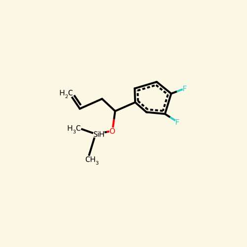 C=CCC(O[SiH](C)C)c1ccc(F)c(F)c1